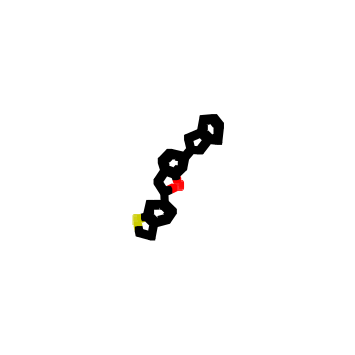 c1ccc2c(c1)CC(c1ccc3c(c1)OC(c1ccc4c(c1)SCC4)C3)C2